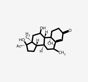 CC(=O)[C@@]1(O)CC[C@H]2[C@@H]3CC(C)C4=CC(=O)CC[C@]4(C)[C@H]3C(O)C[C@@]21C